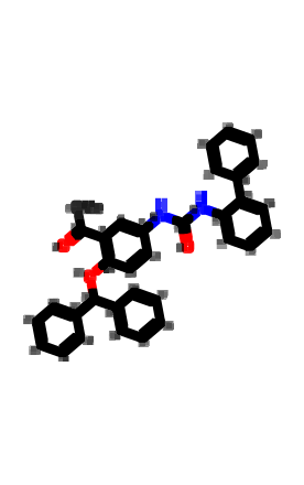 COC(=O)c1cc(NC(=O)Nc2ccccc2-c2ccccc2)ccc1OC(c1ccccc1)c1ccccc1